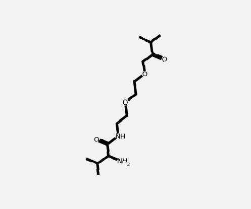 CC(C)C(=O)COCCOCCNC(=O)C(N)C(C)C